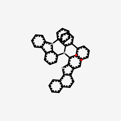 c1ccc(-c2ccccc2N(c2cccc3c2sc2c4ccccc4ccc32)c2cccc3c4ccccc4n(-c4ccccc4)c23)cc1